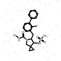 CCNC(=O)N1CC2(CC2)C(NS(C)(=O)=O)C1Cc1cccc(-c2ccccc2)c1F